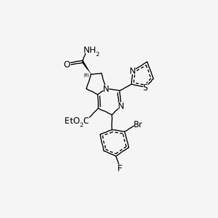 CCOC(=O)C1=C2C[C@@H](C(N)=O)CN2C(c2nccs2)=NC1c1ccc(F)cc1Br